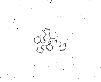 O=C1C(=CNCc2ccccn2)c2ccccc2C=C1[Si](c1ccccc1)(c1ccccc1)c1ccccc1